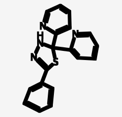 c1ccc(C2=NNC(c3ccccn3)(c3ccccn3)S2)cc1